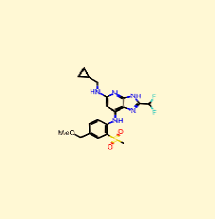 COCc1ccc(Nc2cc(NCC3CC3)nc3[nH]c(C(F)F)nc23)c(S(C)(=O)=O)c1